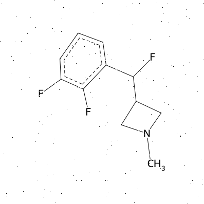 CN1CC(C(F)c2cccc(F)c2F)C1